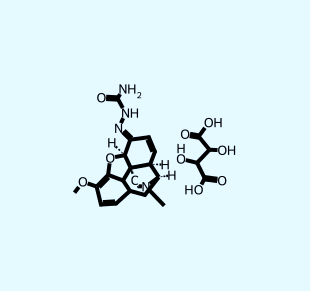 COC1=C2O[C@H]3C(=NNC(N)=O)C=C[C@H]4[C@H]5CC(C=C1)C2[C@@]34CCN5C.O=C(O)C(O)C(O)C(=O)O